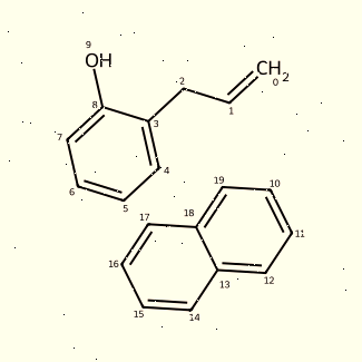 C=CCc1ccccc1O.c1ccc2ccccc2c1